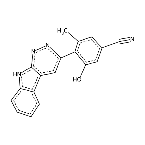 Cc1cc(C#N)cc(O)c1-c1cc2c(nn1)[nH]c1ccccc12